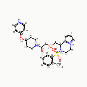 O=C(COCC1c2cccn2CCN1S(=O)(=O)c1ccccc1C(F)(F)F)N1CCC(Oc2ccncc2)CC1